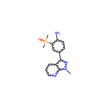 Cn1nc(-c2ccc(N)c(P(C)(C)=O)c2)c2cccnc21